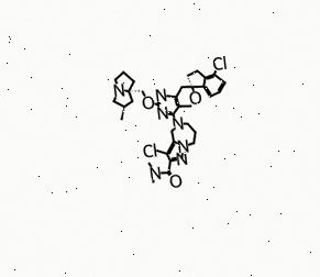 C[C@H]1CN2CCC[C@@]2(COc2nc3c(c(N4CCCn5nc(C(=O)N(C)C)c(Cl)c5C4)n2)CO[C@@]2(CCc4c(Cl)cccc42)C3)C1